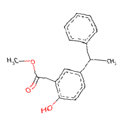 COC(=O)c1cc(C(C)c2ccccc2)ccc1O